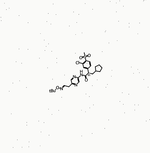 CC(C)(C)ON=CCc1cnc(NC(=O)[C@H](CC2CCCC2)c2ccc(S(C)(=O)=O)c(Cl)c2)cn1